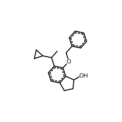 CC(c1ccc2c(c1OCc1ccccc1)C(O)CC2)C1CC1